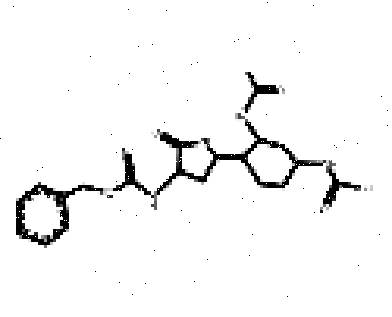 CC(=O)NC1CC(NC(=O)O)CCC1C1CC(NC(=O)OCc2ccccc2)C(=O)N1